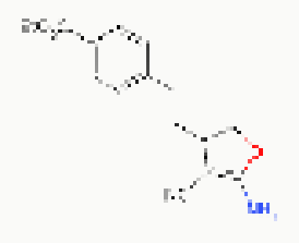 CCOC(=O)c1ccc(CCC2COC(N)=C2C#N)cc1